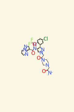 CN(C)C(=O)CN1CCN(C(=O)Cn2cc(NC(=O)c3cnn4cccnc34)c(-c3cc(Cl)ccc3OC(F)F)n2)CC1